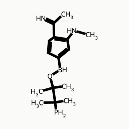 CNc1cc(BOC(C)(C)C(C)(C)P)ccc1C(C)=N